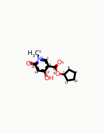 Cn1cc(C(=O)OC2CCCC2)c(O)cc1=O